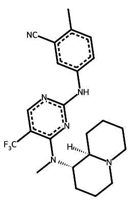 Cc1ccc(Nc2ncc(C(F)(F)F)c(N(C)[C@H]3CCCN4CCCC[C@H]34)n2)cc1C#N